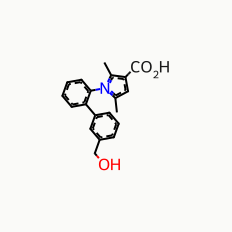 Cc1cc(C(=O)O)c(C)n1-c1ccccc1-c1cccc(CO)c1